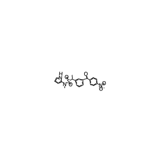 CC(c1cccc(C(=O)c2ccc([N+](=O)[O-])cc2)c1)S(=O)(=O)N(C)c1ccc[nH]1